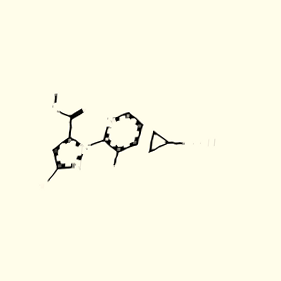 CCNC(=O)c1cc(Br)nn1-c1ncccc1Cl.O=C(O)C1CC1